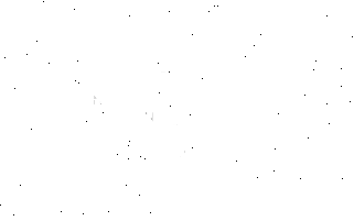 O=C(c1cc(F)ccc1F)N1CCNCC1